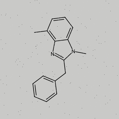 Cc1cccc2c1nc(Cc1ccccc1)n2C